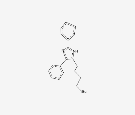 CCC(C)CCCCc1[nH]c(-c2ccccc2)nc1-c1ccccc1